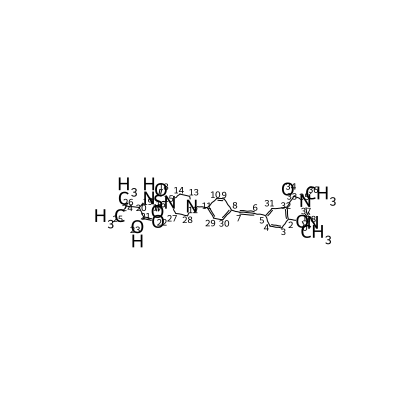 COc1ccc(C#Cc2ccc(N3CCN(S(=O)(=O)N[C@@H](C(=O)O)C(C)C)CC3)cc2)cc1C(=O)N(C)C#N